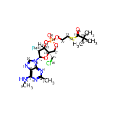 CNc1nc(C)nc2c1ncn2[C@@H]1O[C@]2(CCl)COP(=O)(OCCSC(=O)C(C)(C)C)O[C@H]2[C@H]1F